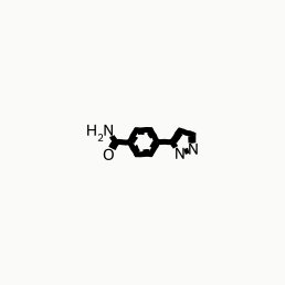 NC(=O)c1ccc(C2=CC=N[N]2)cc1